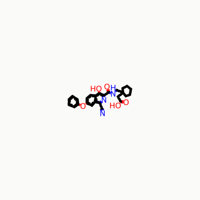 N#Cc1nc(C(=O)NCC2(CC(=O)O)CCCCC2)c(O)c2ccc(Oc3ccccc3)cc12